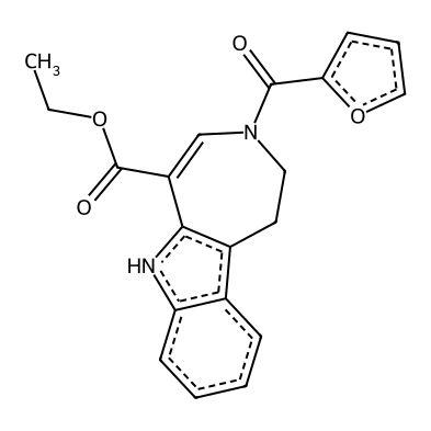 CCOC(=O)C1=CN(C(=O)c2ccco2)CCc2c1[nH]c1ccccc21